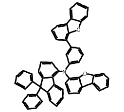 c1ccc(C2(c3ccccc3)c3ccccc3-c3c(N(c4cccc(-c5cccc6c5oc5ccccc56)c4)c4cccc5c4oc4ccccc45)cccc32)cc1